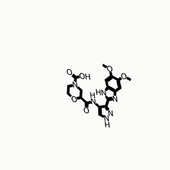 COc1cc2nc(-c3n[nH]cc3NC(=O)C3CN(C(=O)O)CCO3)[nH]c2cc1OC